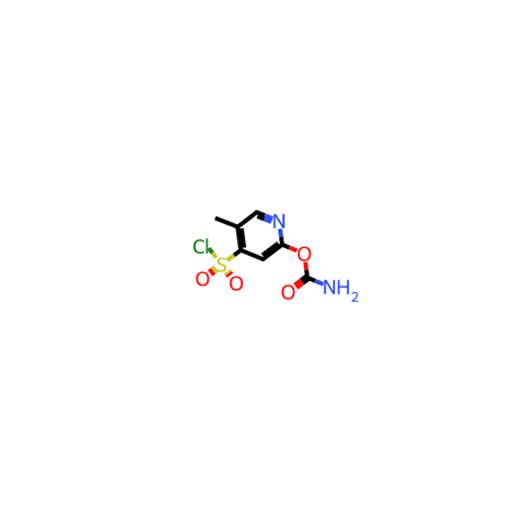 Cc1cnc(OC(N)=O)cc1S(=O)(=O)Cl